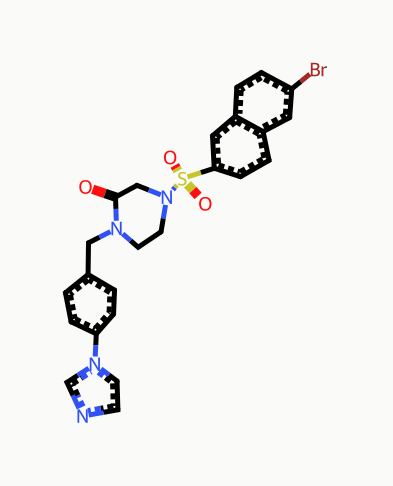 O=C1CN(S(=O)(=O)c2ccc3cc(Br)ccc3c2)CCN1Cc1ccc(-n2ccnc2)cc1